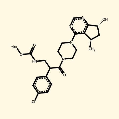 C[C@@H]1C[C@@H](O)c2ncnc(N3CCN(C(=O)C(CNC(=O)OC(C)(C)C)c4ccc(Cl)cc4)CC3)c21